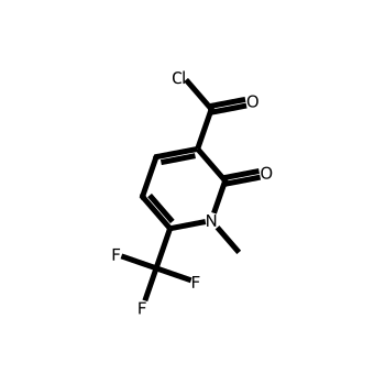 Cn1c(C(F)(F)F)ccc(C(=O)Cl)c1=O